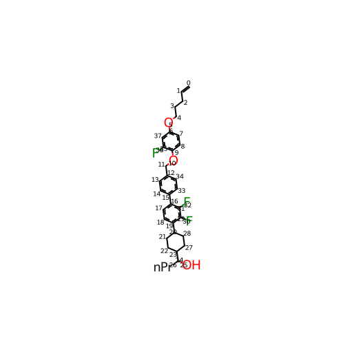 C=CCCCOc1ccc(OCc2ccc(-c3ccc(C4CCC(C(O)CCC)CC4)c(F)c3F)cc2)c(F)c1